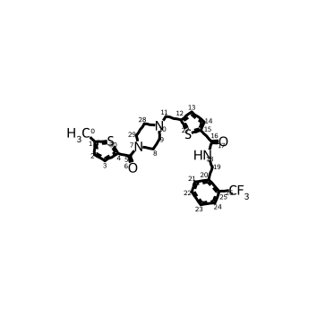 Cc1ccc(C(=O)N2CCN(Cc3ccc(C(=O)NCc4ccccc4C(F)(F)F)s3)CC2)s1